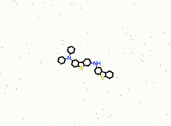 c1ccc(N(c2ccccc2)c2ccc3sc4cc(Nc5ccc6sc7ccccc7c6c5)ccc4c3c2)cc1